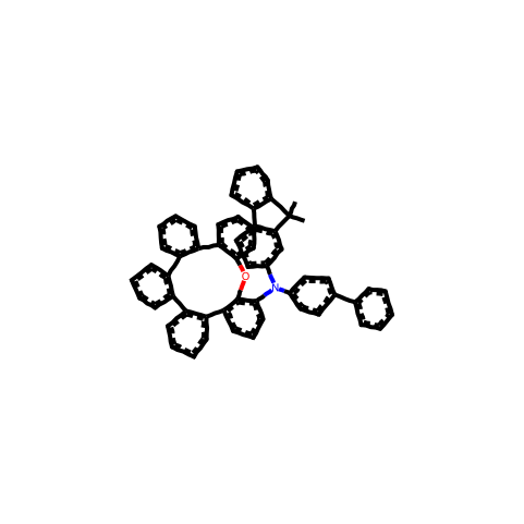 CC1(C)c2ccccc2-c2ccc(N(c3ccc(-c4ccccc4)cc3)c3cccc4c3Oc3ccccc3-c3ccccc3-c3ccccc3-c3ccccc3-4)cc21